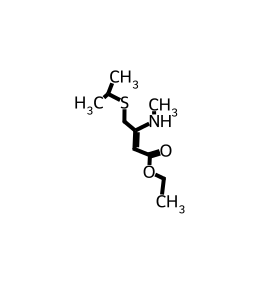 CCOC(=O)/C=C(/CSC(C)C)NC